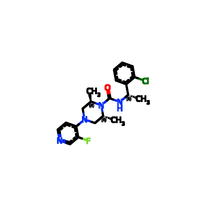 C[C@H](NC(=O)N1[C@H](C)CN(c2ccncc2F)C[C@H]1C)c1ccccc1Cl